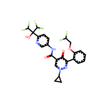 O=C(Nc1ccc(C(O)(C(F)F)C(F)F)nc1)c1cn(C2CC2)nc(-c2ccccc2OCC(F)F)c1=O